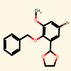 COc1cc(Br)cc(C2OCCO2)c1OCc1ccccc1